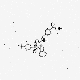 CC(C)(C)c1ccc(S(=O)(=O)N2c3ccccc3C[C@H]2C(=O)NCc2ccc(C(=O)O)cc2)cc1